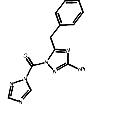 CCCc1nc(Cc2ccccc2)n(C(=O)n2cncn2)n1